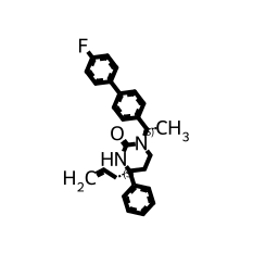 C=CC[C@@]1(c2ccccc2)CCN([C@@H](C)c2ccc(-c3ccc(F)cc3)cc2)C(=O)N1